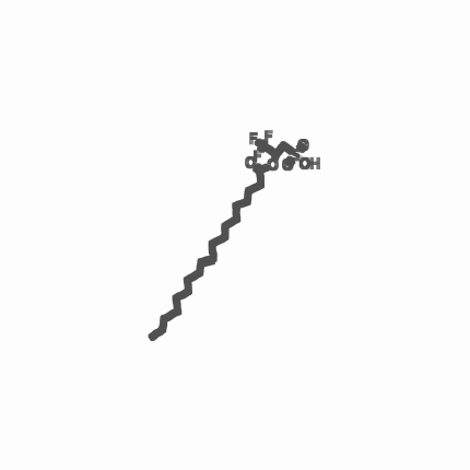 CCCCCCCC/C=C/CCCCCCCCC(=O)OC(CS(=O)(=O)O)C(F)(F)F